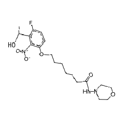 CC(O)c1c(F)ccc(OCCCCCCC(=O)NN2CCOCC2)c1[N+](=O)[O-]